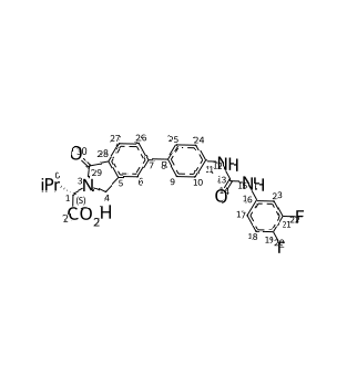 CC(C)[C@@H](C(=O)O)N1Cc2cc(-c3ccc(NC(=O)Nc4ccc(F)c(F)c4)cc3)ccc2C1=O